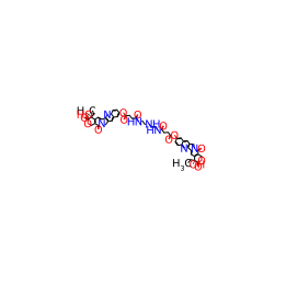 CC[C@@]1(O)C(=O)OCc2c1cc1n(c2=O)Cc2cc3cc(OC(=O)CCC(=O)NCCNCCNC(=O)CCC(=O)Oc4ccc5nc6c(cc5c4)Cn4c-6cc5c(c4=O)COC(=O)[C@]5(O)CC)ccc3nc2-1